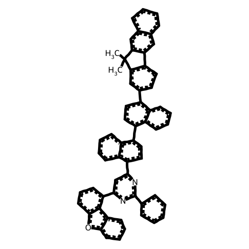 CC1(C)c2cc(-c3ccc(-c4ccc(-c5cc(-c6cccc7oc8ccccc8c67)nc(-c6ccccc6)n5)c5ccccc45)c4ccccc34)ccc2-c2cc3ccccc3cc21